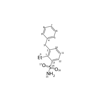 CCc1c(Cc2ccccc2)cccc1S(N)(=O)=O